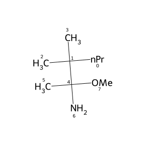 CCCC(C)(C)C(C)(N)OC